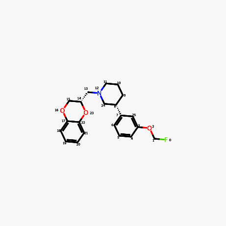 FCOc1cccc([C@H]2CCCN(C[C@H]3COc4ccccc4O3)C2)c1